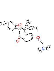 CCN(CC)CCOc1ccc2c(c1)C(C)(C)c1oc3cc(C#N)ccc3c1C2=O